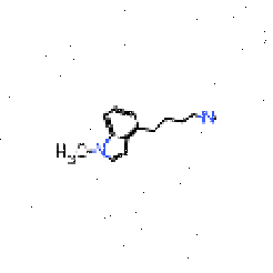 Cn1ccc2c(CCCC[N])cccc21